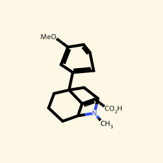 COc1cccc(C23CCCC(/C2=C\C(=O)O)N(C)CC3)c1